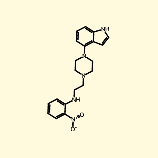 O=[N+]([O-])c1ccccc1NCCN1CCN(c2cccc3[nH]ccc23)CC1